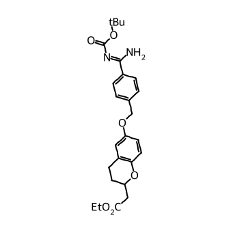 CCOC(=O)CC1CCc2cc(OCc3ccc(C(N)=NC(=O)OC(C)(C)C)cc3)ccc2O1